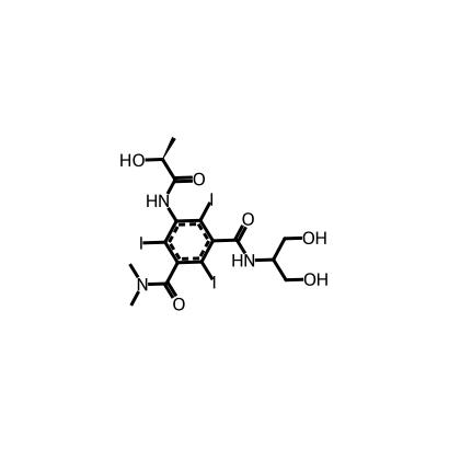 C[C@H](O)C(=O)Nc1c(I)c(C(=O)NC(CO)CO)c(I)c(C(=O)N(C)C)c1I